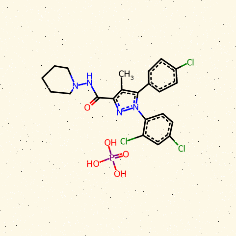 Cc1c(C(=O)NN2CCCCC2)nn(-c2ccc(Cl)cc2Cl)c1-c1ccc(Cl)cc1.O=P(O)(O)O